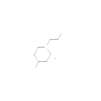 CCCCCCCCCN1CCC(CCC)CC1.F